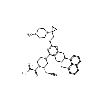 C=C(C)C(=O)N1CCN(c2nc(OCC3(N4CCN(C)CC4)CC3)nc3c2CCN(c2cccc4cccc(Cl)c24)C3)C[C@@H]1CC#N